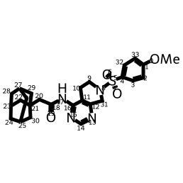 COc1ccc(S(=O)(=O)N2CCc3c(ncnc3NC(=O)CC34CC5CC(CC(C5)C3)C4)C2)cc1